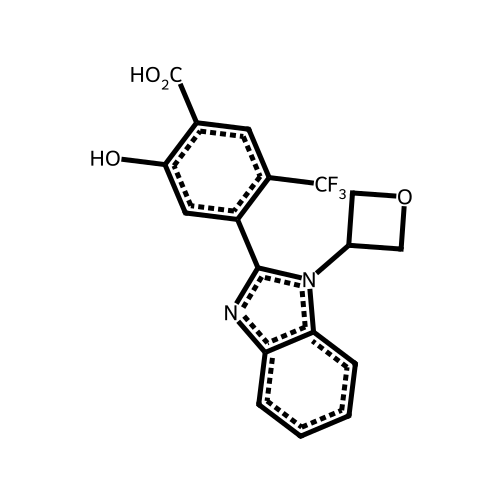 O=C(O)c1cc(C(F)(F)F)c(-c2nc3ccccc3n2C2COC2)cc1O